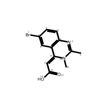 CC1=Nc2ccc(Br)cc2C(=CC(=O)O)N1C